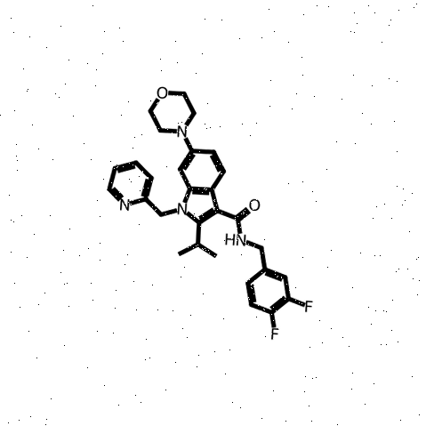 CC(C)c1c(C(=O)NCc2ccc(F)c(F)c2)c2ccc(N3CCOCC3)cc2n1Cc1ccccn1